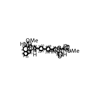 COC(=O)N[C@H]1CCc2cccc3c2N(C1=O)[C@H](c1ncc(-c2ccc(-c4ccc(-c5cnc([C@@H]6COCCN6C(=O)[C@@H](NC(=O)OC)C(C)C)[nH]5)cc4)cc2)[nH]1)C3